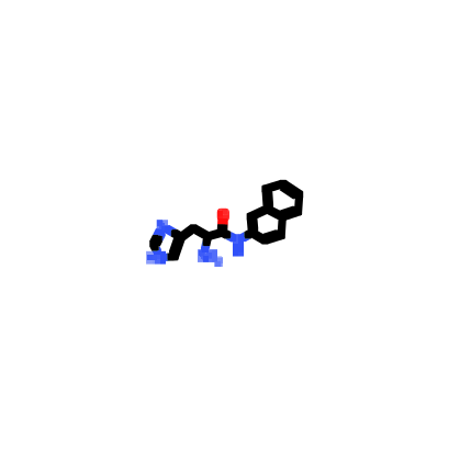 NC(Cc1c[nH]cn1)C(=O)Nc1ccc2ccccc2c1